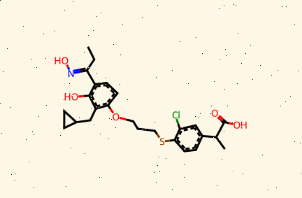 CCC(=NO)c1ccc(OCCCSc2ccc(C(C)C(=O)O)cc2Cl)c(CC2CC2)c1O